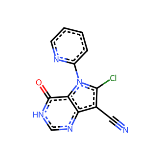 N#Cc1c(Cl)n(-c2ccccn2)c2c(=O)[nH]cnc12